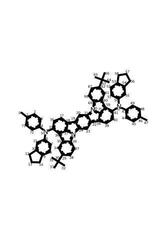 Cc1ccc(N(c2ccc3c(c2)CCC3)c2ccc3c4cc5c(cc4n4c6ccc(C(C)(C)C)cc6c2c34)c2ccc(N(c3ccc(C)cc3)c3ccc4c(c3)CCC4)c3c4cc(C(C)(C)C)ccc4n5c23)cc1